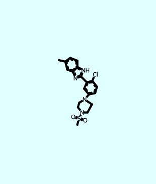 Cc1ccc2[nH]c(-c3cc(N4CCN(S(C)(=O)=O)CC4)ccc3Cl)nc2c1